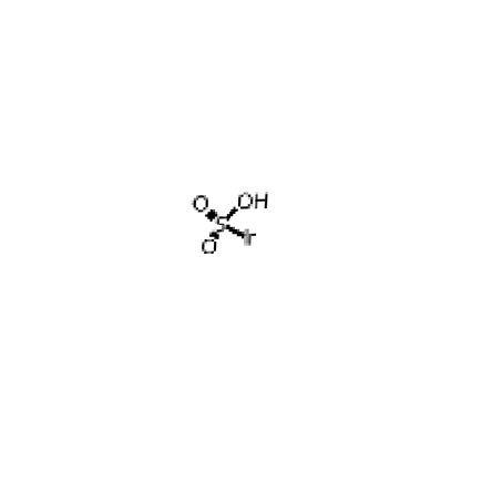 O=[S](=O)(O)[Ir]